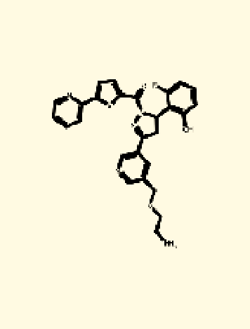 NCCOCc1cncc(C2=NN(C(=O)c3ccc(-c4ccccn4)s3)C(c3c(O)cccc3F)C2)c1